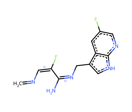 C=N/C=C(F)\C(N)=N/Cc1c[nH]c2ncc(F)cc12